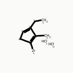 CCC1=CC[C]([Zr])=C1C.Cl.Cl